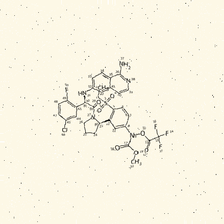 CCS(=O)(=O)c1ccc(N(OC(=O)C(F)(F)F)C(=O)OC)cc1[C@H]1CCCN1C(=O)[C@H](Nc1ccc2c(N)nccc2c1)c1cc(Cl)ccc1F